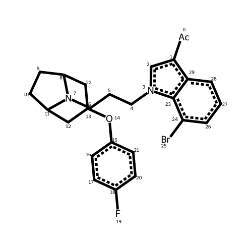 CC(=O)c1cn(CCCN2C3CCC2CC(Oc2ccc(F)cc2)C3)c2c(Br)cccc12